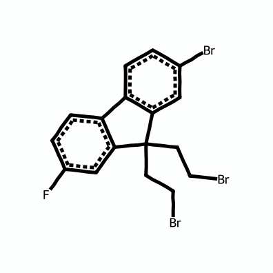 Fc1ccc2c(c1)C(CCBr)(CCBr)c1cc(Br)ccc1-2